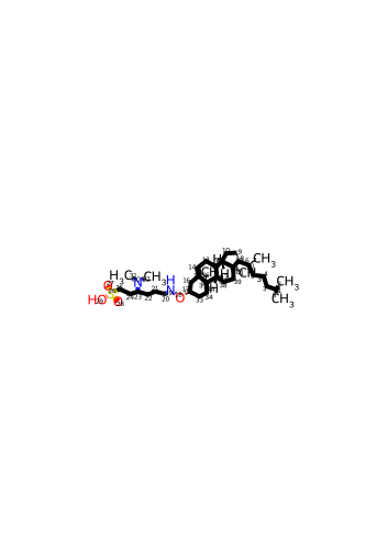 CC(C)CCC[C@@H](C)[C@H]1CC[C@H]2[C@@H]3CC=C4C[C@@H](ONCCCC(CCS(=O)(=O)O)N(C)C)CC[C@]4(C)[C@H]3CC[C@]12C